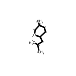 BC1CCC(CC(C)C)OC1